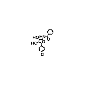 O=C(Nc1oc(-c2ccc(Cl)cc2)c(O)c1O)c1ccccc1